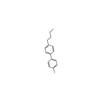 CCCCc1ccc(-c2ccc(C)cc2)cc1